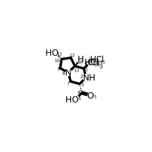 CC1N[C@H](C(=O)O)CN2C[C@H](O)C[C@H]12.Cl.Cl